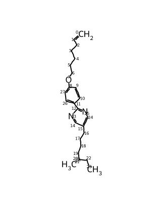 C=CCCCCCOc1ccc(-c2ncc(CCCC[C@@H](C)CC)cn2)cc1